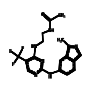 CC(=O)NCCNc1nc(Nc2ccc3cnn(C)c3c2)ncc1C(F)(F)F